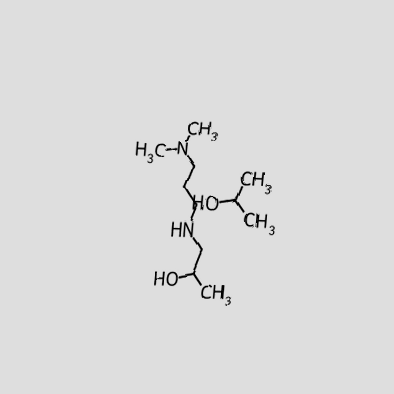 CC(C)O.CC(O)CNCCCN(C)C